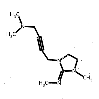 C/N=C1/N(C)CCN1CC#CCN(C)C